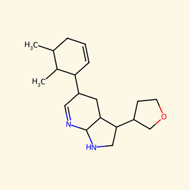 CC1CC=CC(C2C=NC3NCC(C4CCOC4)C3C2)C1C